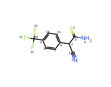 N#CC(C(N)=S)c1ccc(C(F)(F)F)cc1